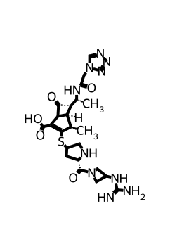 C[C@@H](NC(=O)Cn1cnnn1)[C@H]1C(=O)C2C(C(=O)O)=C(SC3CN[C@H](C(=O)N4CC(NC(=N)N)C4)C3)[C@H](C)[C@@H]21